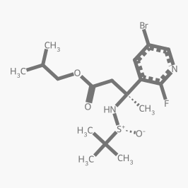 CC(C)COC(=O)C[C@](C)(N[S@+]([O-])C(C)(C)C)c1cc(Br)cnc1F